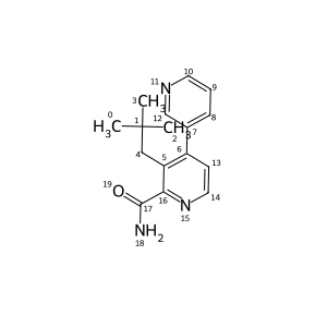 CC(C)(C)Cc1c(-c2cccnc2)ccnc1C(N)=O